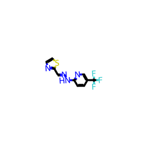 FC(F)(F)c1ccc(NN=Cc2nccs2)nc1